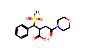 CS(=O)(=O)C(c1ccccc1)C(CC(=O)N1CCOCC1)C(=O)O